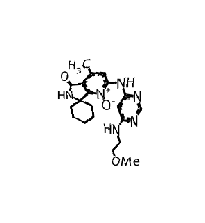 COCCNc1cc(Nc2cc(C)c3c([n+]2[O-])C2(CCCCC2)NC3=O)ncn1